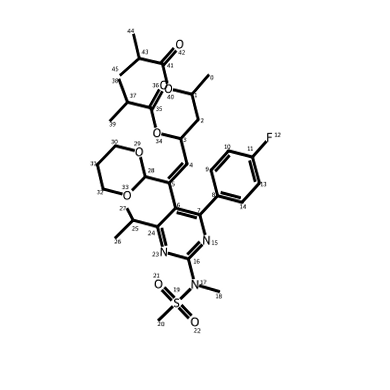 CC(CC(C=C(c1c(-c2ccc(F)cc2)nc(N(C)S(C)(=O)=O)nc1C(C)C)C1OCCCO1)OC(=O)C(C)C)OC(=O)C(C)C